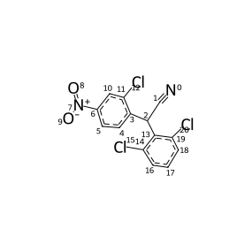 N#CC(c1ccc([N+](=O)[O-])cc1Cl)c1c(Cl)cccc1Cl